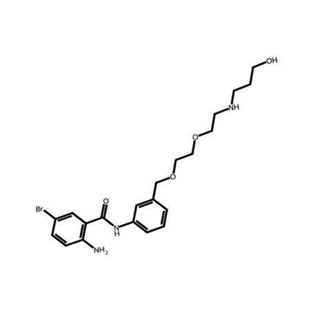 Nc1ccc(Br)cc1C(=O)Nc1cccc(COCCOCCNCCCO)c1